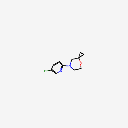 Clc1ccc(N2CCOC3(CC3)C2)nc1